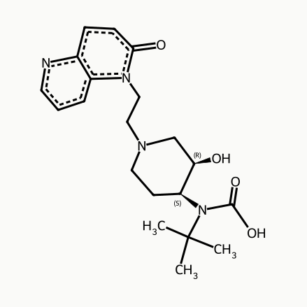 CC(C)(C)N(C(=O)O)[C@H]1CCN(CCn2c(=O)ccc3ncccc32)C[C@H]1O